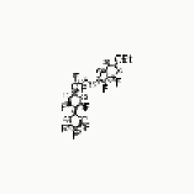 CCOc1cc(F)c2c(F)c(CCC(F)(F)Oc3cc(F)c(-c4cc(F)c(F)c(F)c4)c(F)c3)sc2c1